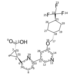 O=C(O)[C@H]1C[C@@H]1c1cccc(-c2cncc(OC[C@H]3CC[C@H](C(F)(F)F)CC3)c2)n1